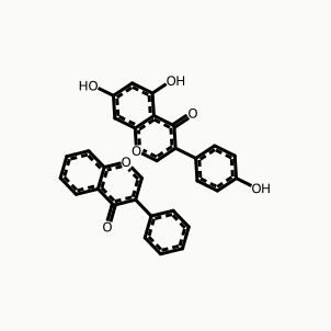 O=c1c(-c2ccc(O)cc2)coc2cc(O)cc(O)c12.O=c1c(-c2ccccc2)coc2ccccc12